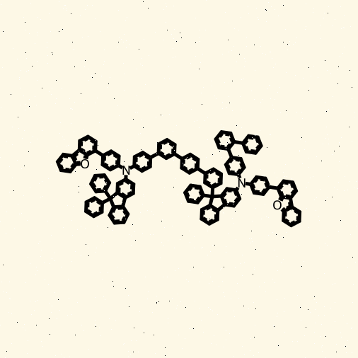 c1ccc(-c2ccccc2-c2ccc(N(c3ccc(-c4cccc5c4oc4ccccc45)cc3)c3ccc4c(c3)C(c3ccccc3)(c3cccc(-c5ccc(-c6cccc(-c7ccc(N(c8ccc(-c9cccc%10c9oc9ccccc9%10)cc8)c8ccc9c(c8)C(c8ccccc8)(c8ccccc8)c8ccccc8-9)cc7)c6)cc5)c3)c3ccccc3-4)cc2)cc1